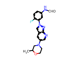 CC1CN(c2cnc3nn(-c4cc(NC=O)ccc4F)cc3c2)CCO1